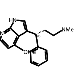 CNCC[C@H](c1ccccc1)c1c[nH]c2nccc(OC)c12